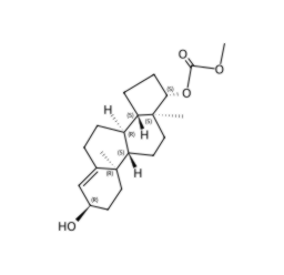 COC(=O)O[C@H]1CC[C@H]2[C@@H]3CCC4=C[C@H](O)CC[C@]4(C)[C@H]3CC[C@]12C